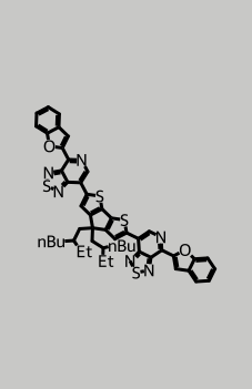 CCCCC(CC)CC1(CC(CC)CCCC)c2cc(-c3cnc(-c4cc5ccccc5o4)c4nsnc34)sc2-c2sc(-c3cnc(-c4cc5ccccc5o4)c4nsnc34)cc21